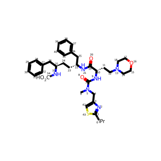 CC(C)c1nc(CN(C)C(=O)N[C@@H](CCN2CCOCC2)C(=O)N[C@H](CC[C@H](Cc2ccccc2)NC(=O)O)Cc2ccccc2)cs1